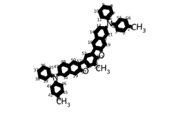 Cc1ccc(N(c2ccccc2)c2ccc3cc4c(cc3c2)oc2c(C)c3oc5cc6cc(N(c7ccccc7)c7ccc(C)cc7)ccc6cc5c3cc24)cc1